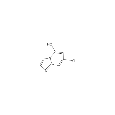 Oc1cc(Cl)cc2nccn12